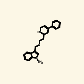 Cn1cc(CSCCC2CC(c3ccccc3)=CCN2)c2ccccc21